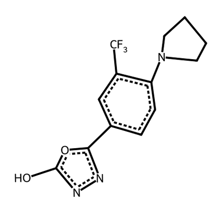 Oc1nnc(-c2ccc(N3CCCC3)c(C(F)(F)F)c2)o1